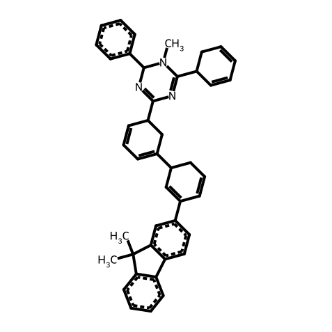 CN1C(C2C=CC=CC2)=NC(C2C=CC=C(C3C=C(c4ccc5c(c4)C(C)(C)c4ccccc4-5)C=CC3)C2)=NC1c1ccccc1